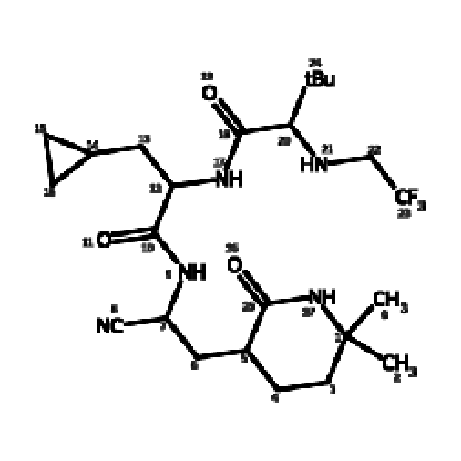 CC1(C)CCC(CC(C#N)NC(=O)C(CC2CC2)NC(=O)C(NCC(F)(F)F)C(C)(C)C)C(=O)N1